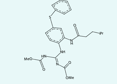 COC(=O)N=C(NC(=O)OC)Nc1ccc(Sc2ccccc2)cc1NC(=O)CCC(C)C